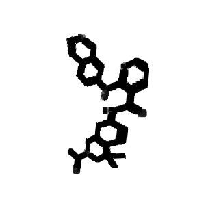 CC(=O)N1CC2=C(C=CC(NC(=O)c3cccnc3Nc3ccc4ccncc4c3)C2)C(C)(C)C1